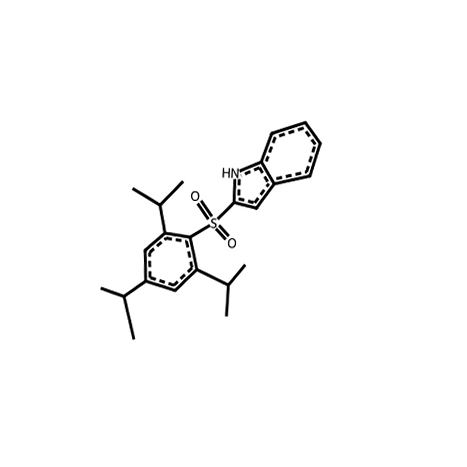 CC(C)c1cc(C(C)C)c(S(=O)(=O)c2cc3ccccc3[nH]2)c(C(C)C)c1